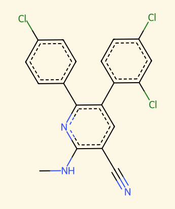 CNc1nc(-c2ccc(Cl)cc2)c(-c2ccc(Cl)cc2Cl)cc1C#N